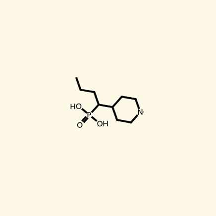 CCCC(C1CC[N]CC1)P(=O)(O)O